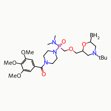 BC1CN(C(C)(C)C)CC(COCP(=O)(N(C)C)N2CCN(C(=O)c3cc(OC)c(OC)c(OC)c3)CC2)O1